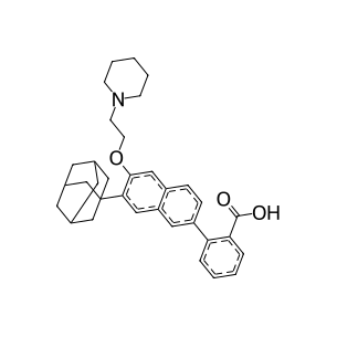 O=C(O)c1ccccc1-c1ccc2cc(OCCN3CCCCC3)c(C34CC5CC(CC(C5)C3)C4)cc2c1